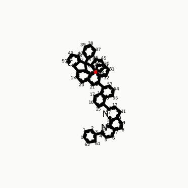 c1ccc(-c2ccc3ccc4ccc(-c5cccc6c(-c7cc8ccc9c(c8c8ccccc78)C(c7ccccc7)(c7ccccc7)c7ccccc7-9)cccc56)nc4c3n2)cc1